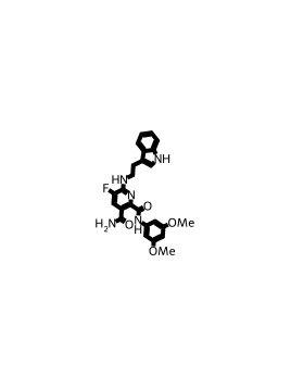 COc1cc(NC(=O)c2nc(NCCc3c[nH]c4ccccc34)c(F)cc2C(N)=O)cc(OC)c1